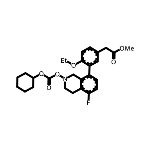 CCOc1ccc(CC(=O)OC)cc1-c1ccc(F)c2c1CN(OC(=O)OC1CCCCC1)CC2